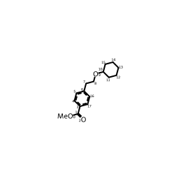 COC(=O)c1ccc(CCOC2CCCCC2)cc1